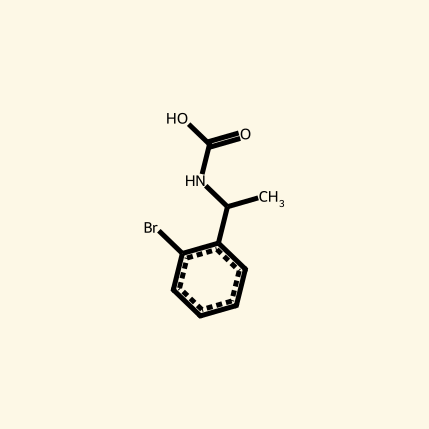 CC(NC(=O)O)c1ccccc1Br